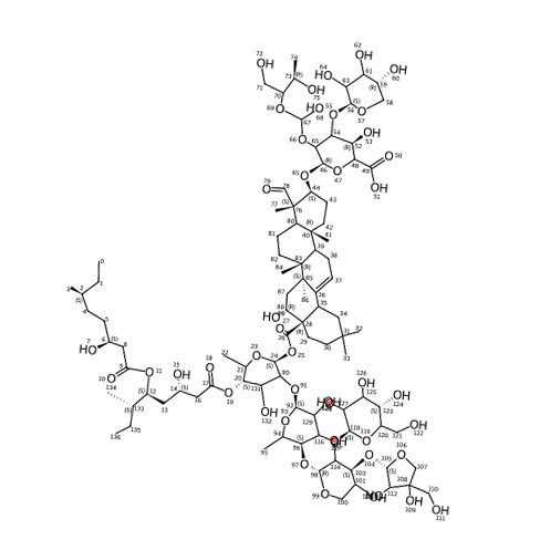 CC[C@H](C)CC[C@H](O)CC(=O)O[C@@H](C[C@H](O)CC(=O)O[C@@H]1C(C)O[C@@H](OC(=O)[C@]23CCC(C)(C)CC2C2=CCC4[C@@]5(C)CC[C@H](O[C@@H]6OC(C(=O)O)[C@H](O)C(O[C@@H]7OC[C@@H](O)C(O)C7O)C6OC(O)OC(CO)[C@@H](C)O)[C@@](C)(C=O)C5CC[C@@]4(C)[C@]2(C)C[C@H]3O)C(O[C@@H]2OC(C)[C@H](O[C@H]3OCC(O)[C@H](O[C@@H]4OCC(O)(CO)C4O)C3O)C(O[C@@H]3OC(CO)[C@@H](O)C(O)C3O)C2O)C1O)[C@@H](C)CC